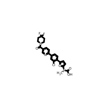 CN(C(=O)O)c1ccc(-c2ccc(-c3ccc(C(=O)N4CCC(F)(F)CC4)cn3)cc2Cl)o1